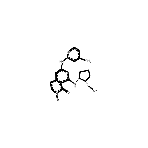 CCn1ccc2cc(Nc3cc(C)ccn3)nc(N[C@@H]3CCC[C@@H]3CO)c2c1=O